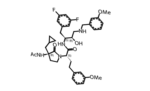 COc1cccc(CC[C@@H](C(=O)N[C@@H](Cc2cc(F)cc(F)c2)[C@H](O)CNCc2cccc(OC)c2)N2CC[C@@](CC3CC3)(NC(C)=O)C2=O)c1